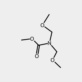 COCN(COC)C(=O)OC